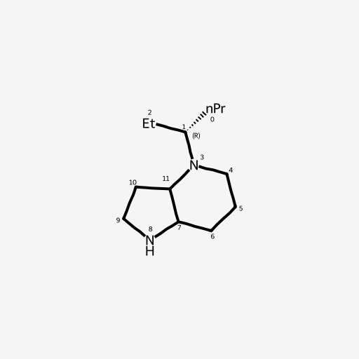 CCC[C@@H](CC)N1CCCC2NCCC21